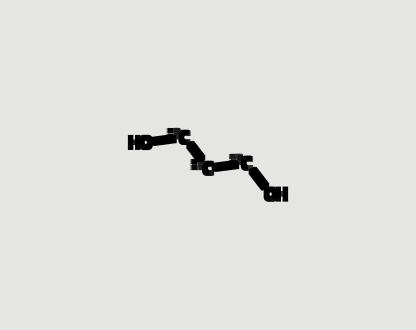 O[13CH2][13CH2][13CH2]O